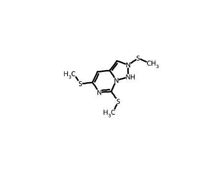 CSC1=CC2=CN(SC)NN2C(SC)=N1